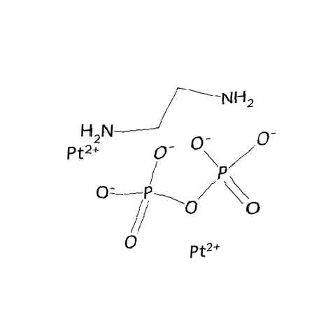 NCCN.O=P([O-])([O-])OP(=O)([O-])[O-].[Pt+2].[Pt+2]